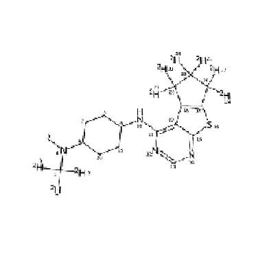 [2H]C([2H])([2H])N(C)C1CCC(Nc2ncnc3sc4c(c23)C([2H])([2H])C([2H])([2H])C4([2H])[2H])CC1